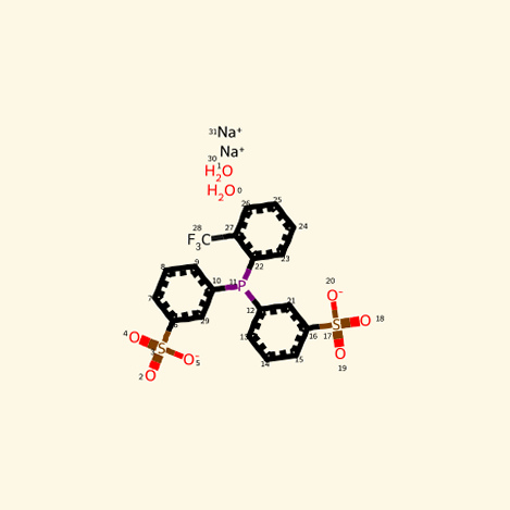 O.O.O=S(=O)([O-])c1cccc(P(c2cccc(S(=O)(=O)[O-])c2)c2ccccc2C(F)(F)F)c1.[Na+].[Na+]